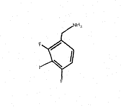 NCc1ccc(F)c(I)c1F